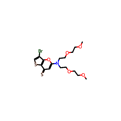 COCCOCCN(CCOCCOC)c1cc(=S)c2scc(Br)c2o1